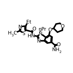 CCCn1c(NC(=O)c2sc(C)nc2CC)nc2cc(C(N)=O)cc(OC3CCOCC3)c21